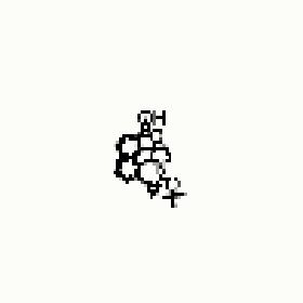 CC(C)(C)OC(=O)N1CCC2(OB(O)c3ccccc32)C1c1ccccc1C1CC1